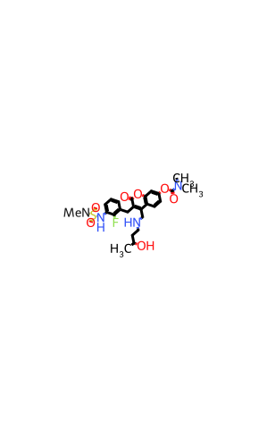 CNS(=O)(=O)Nc1cccc(Cc2c(CNCCC(C)O)c3ccc(OC(=O)N(C)C)cc3oc2=O)c1F